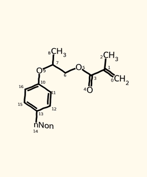 C=C(C)C(=O)OCC(C)Oc1ccc(CCCCCCCCC)cc1